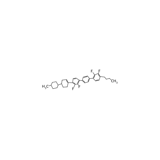 CCCCc1ccc(-c2ccc(-c3ccc(C4=CCC(C5CCC(C)CC5)CC4)c(F)c3F)cc2)c(F)c1F